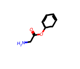 NCC(=O)OC1C=CC=CC1